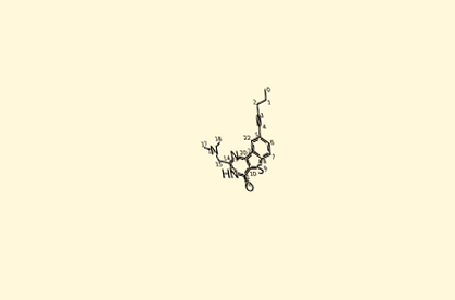 CCCC#Cc1ccc2sc3c(=O)[nH]c(CN(C)C)nc3c2c1